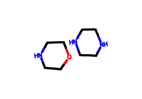 C1CNCCN1.C1COCCN1